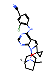 CC1(ON2[C@H]3CC[C@H]2CC(n2ccc4c(Nc5ccc(C#N)cc5Cl)ncnc42)C3)CC1